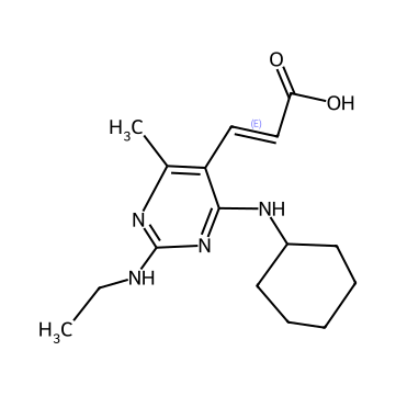 CCNc1nc(C)c(/C=C/C(=O)O)c(NC2CCCCC2)n1